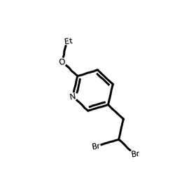 CCOc1ccc(CC(Br)Br)cn1